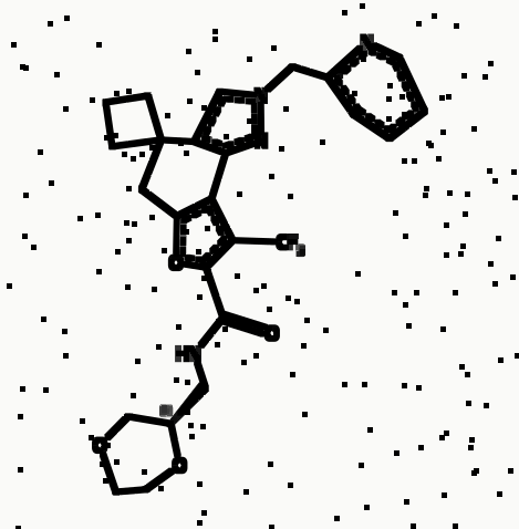 O=C(NC[C@@H]1COCCO1)c1oc2c(c1C(F)(F)F)-c1nn(Cc3ccccn3)cc1C1(CCC1)C2